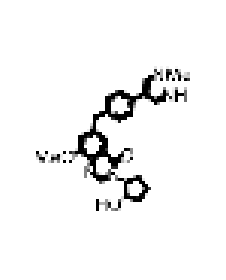 CN/C=C(\C=N)c1ccc(Cc2cc(OC)c3ncn([C@H]4CCC[C@@H]4O)c(=O)c3c2)cc1